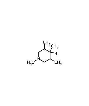 CC1CN(C)CC(C)C1(C)I